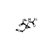 C=C=C[C@@H]1C[C@@]1(NC(=O)CC)C(=O)C(C)(C)C